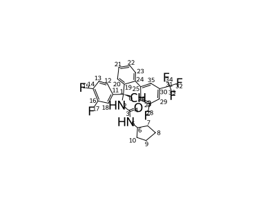 C[C@@](NC(=O)NC1CCCC1)(c1ccc(F)c(F)c1)c1ccccc1-c1cc(F)cc(C(F)(F)F)c1